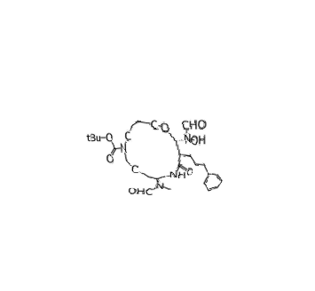 CN(C=O)[C@H]1CCCN(C(=O)OC(C)(C)C)CCCCO[C@H](N(O)C=O)[C@@H](CCCc2ccccc2)C(=O)N1